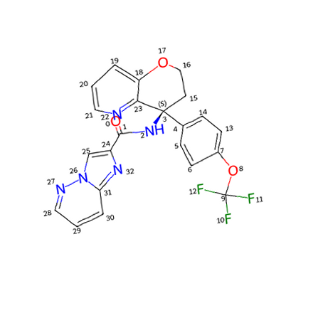 O=C(N[C@]1(c2ccc(OC(F)(F)F)cc2)CCOc2cccnc21)c1cn2ncccc2n1